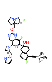 CC(C)[Si](C#Cc1c(F)ccc2c1C=CC(O)(c1nc(N3CC[C@@H]3Cn3cccn3)c3cnc(OC[C@@]45CCCN4C[C@H](F)C5)nc3c1F)C2)(C(C)C)C(C)C